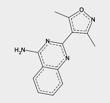 Cc1noc(C)c1-c1nc(N)c2ccccc2n1